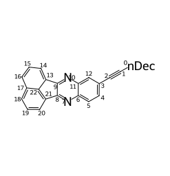 CCCCCCCCCCC#Cc1ccc2nc3c(nc2c1)-c1cccc2cccc-3c12